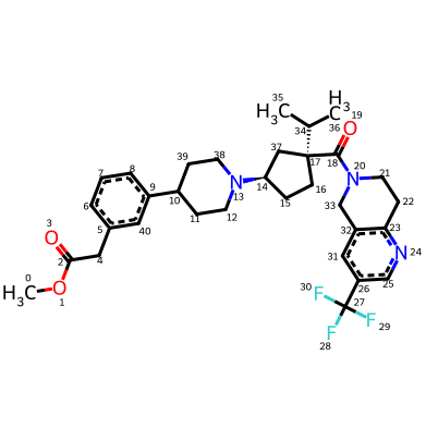 COC(=O)Cc1cccc(C2CCN([C@@H]3CC[C@@](C(=O)N4CCc5ncc(C(F)(F)F)cc5C4)(C(C)C)C3)CC2)c1